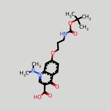 CN(C)n1cc(C(=O)O)c(=O)c2ccc(OCCCNC(=O)OC(C)(C)C)cc21